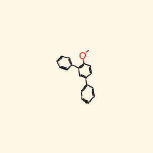 COc1ccc(-c2ccccc2)cc1-c1ccccc1